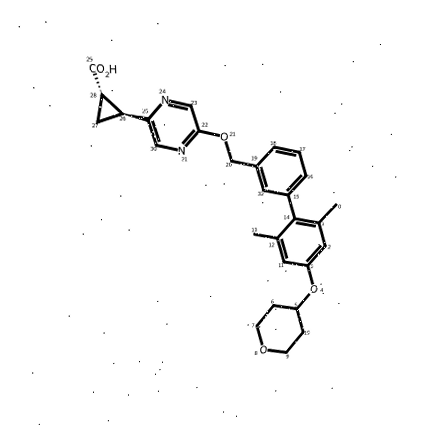 Cc1cc(OC2CCOCC2)cc(C)c1-c1cccc(COc2cnc([C@H]3C[C@@H]3C(=O)O)cn2)c1